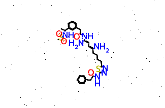 CC(NS(C)(=O)=O)c1cccc(CC(=O)N/C(N)=C/C=C(\N)CCCCc2nnc(NC(=O)Cc3ccccc3)s2)c1